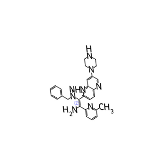 Cc1cccc(/C(N)=C(\c2ccc3ncc(N4CCNCC4)cc3n2)N(N)Cc2ccccc2)n1